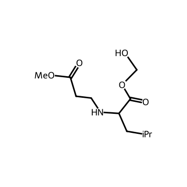 COC(=O)CCNC(CC(C)C)C(=O)OCO